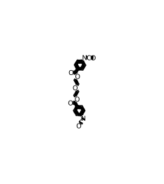 O=C=Nc1ccc(C(=O)OCCOCCOC(=O)c2ccc(N=C=O)cc2)cc1